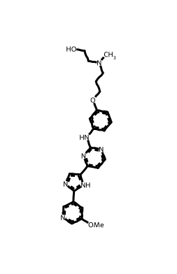 COc1cncc(-c2ncc(-c3ccnc(Nc4cccc(OCCCN(C)CCO)c4)n3)[nH]2)c1